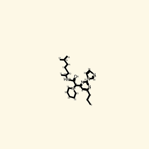 CCCc1cc(C(C(=O)NC(C)CCCC(C)C)N2CCCCC2)nc(-n2ccnc2)n1